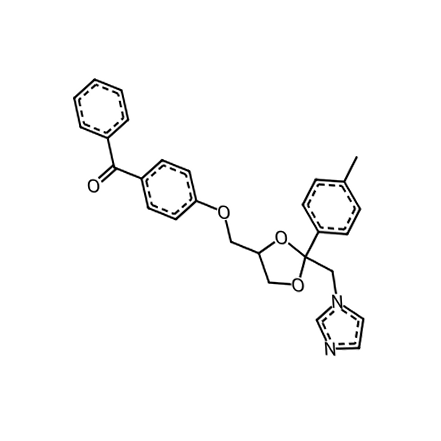 Cc1ccc(C2(Cn3ccnc3)OCC(COc3ccc(C(=O)c4ccccc4)cc3)O2)cc1